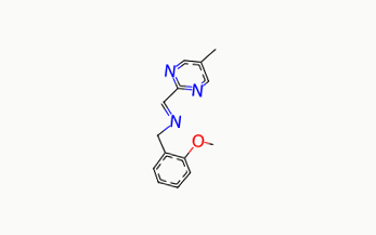 COc1ccccc1CN=Cc1ncc(C)cn1